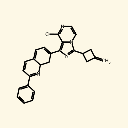 C=C1CC(c2nc(C3=CC=C4C=CC(c5ccccc5)=NC4C3)c3c(Cl)nccn23)C1